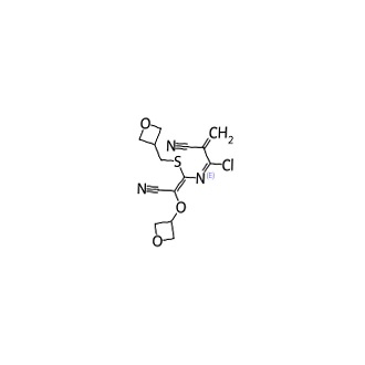 C=C(C#N)/C(Cl)=N\C(SCC1COC1)=C(C#N)OC1COC1